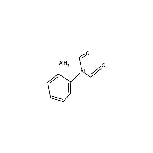 O=[CH][Al]([CH]=O)[c]1ccccc1.[AlH3]